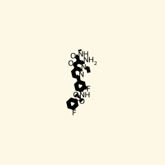 CCn1c(N)c(C(=O)NC)c(=O)c2ccc(-c3ccc(NS(=O)(=O)c4cccc(F)c4)c(F)c3)nc21